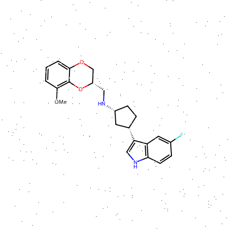 COc1cccc2c1O[C@@H](CN[C@@H]1CC[C@H](c3c[nH]c4ccc(F)cc34)C1)CO2